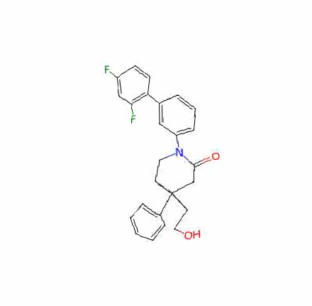 O=C1CC(CCO)(c2ccccc2)CCN1c1cccc(-c2ccc(F)cc2F)c1